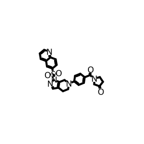 O=C1CCN(C(=O)c2ccc(N3CCc4cnn(S(=O)(=O)c5ccc6ncccc6c5)c4C3)cc2)C1